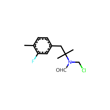 Cc1ccc(CC(C)(C)N(C=O)CCl)cc1F